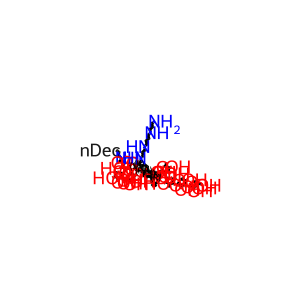 CCCCCCCCCCCCNC(=O)C1OC(O[C@H]2CC[C@@]3(C)C(CC[C@]4(C)C3CC=C3C5CC(C)(C)CC[C@]5(C(=O)OC5OC(C)C(O)C(O)C5OC5OC(C)C(OC6OCC(O)C(OC7OCC(O)(CO)C7O)C6O)C(C)C5O)[C@H](O)C[C@]34C)[C@]2(C)CNCCCNCCCCNCCCN)C(OC2OC(CO)C(O)C(O)C2O)C(OC2OCC(O)C(O)C2O)C1O